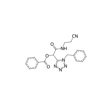 N#CCCNC(=O)C(OC(=O)c1ccccc1)c1nnnn1Cc1ccccc1